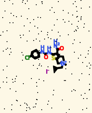 C[N+]1(CC2CC2)CCc2c(sc(NC(=O)Nc3ccc(Cl)cc3)c2C(N)=O)C1.[I-]